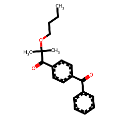 CCCCOC(C)(C)C(=O)c1ccc(C(=O)c2ccccc2)cc1